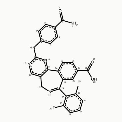 NC(=O)c1ccc(Nc2ncc3c(n2)-c2ccc(C(=O)O)cc2C(c2c(F)cccc2F)=NC3)cc1